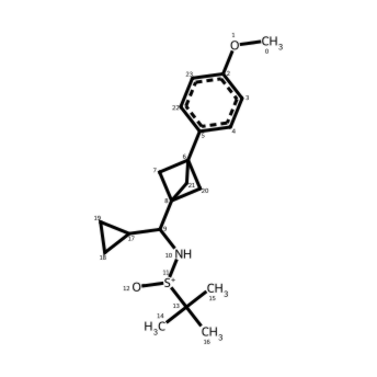 COc1ccc(C23CC(C(N[S+]([O-])C(C)(C)C)C4CC4)(C2)C3)cc1